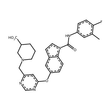 Cc1cc(NC(=O)n2ccc3cc(Oc4cc(CN5CCCC(C(=O)O)C5)ncn4)ccc32)ccc1F